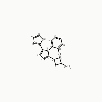 NC1CC(c2nnc(-c3nccs3)n2-c2ccccc2Cl)C1